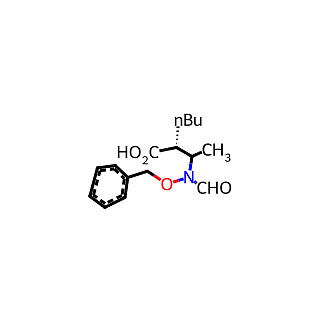 CCCC[C@@H](C(=O)O)C(C)N(C=O)OCc1ccccc1